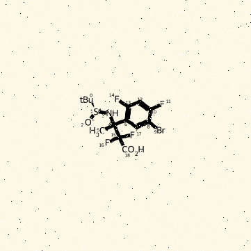 CC(C)(C)[S@@+]([O-])NC(C)(c1cc(Br)c(F)cc1F)C(F)(F)C(=O)O